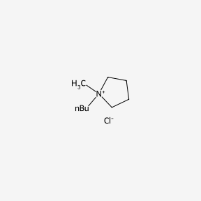 CCCC[N+]1(C)CCCC1.[Cl-]